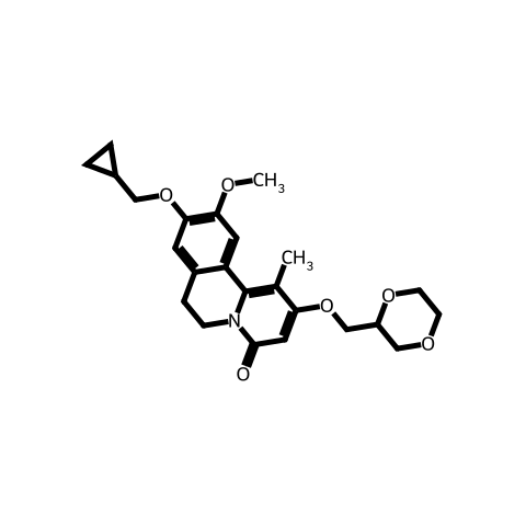 COc1cc2c(cc1OCC1CC1)CCn1c-2c(C)c(OCC2COCCO2)cc1=O